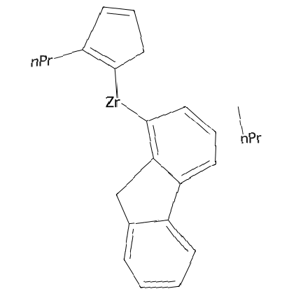 CCCC.CCCC1=[C]([Zr][c]2cccc3c2Cc2ccccc2-3)CC=C1